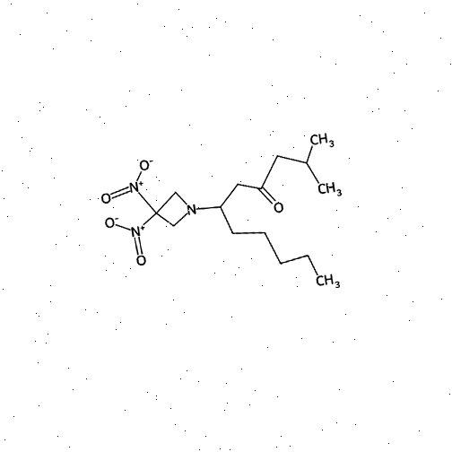 CCCCCC(CC(=O)CC(C)C)N1CC([N+](=O)[O-])([N+](=O)[O-])C1